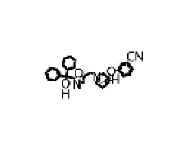 N#Cc1cccc(O[C@H]2C[N+]3(Cc4cnc(C(O)(c5ccccc5)c5ccccc5)o4)CCC2CC3)c1